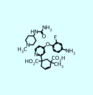 CC1(C(=O)O)C=CCC(C(=O)O)(c2cc(Oc3ccc(N)cc3F)ccn2)C1.CN1CCC(NC(N)=O)CC1